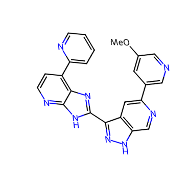 COc1cncc(-c2cc3c(-c4nc5c(-c6ccccn6)ccnc5[nH]4)n[nH]c3cn2)c1